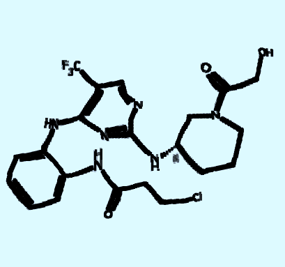 O=C(CCCl)Nc1ccccc1Nc1nc(N[C@H]2CCCN(C(=O)CO)C2)ncc1C(F)(F)F